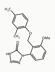 COc1cccc(-n2nn[nH]c2=O)c1COc1ccc(C)cc1C